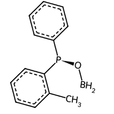 BO[P@](c1ccccc1)c1ccccc1C